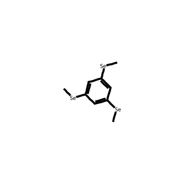 C[Se]c1[c]c([Se]C)cc([Se]C)c1